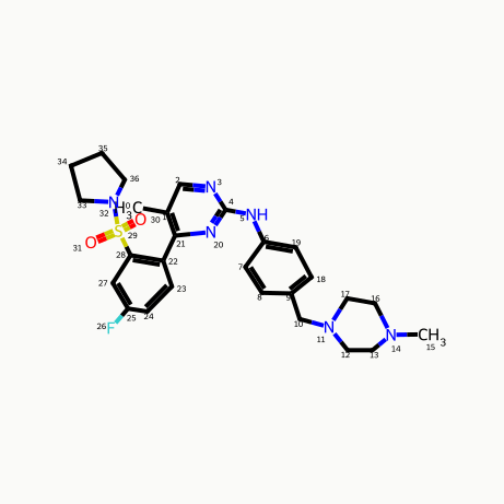 Cc1cnc(Nc2ccc(CN3CCN(C)CC3)cc2)nc1-c1ccc(F)cc1S(=O)(=O)N1CCCC1